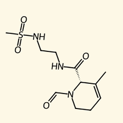 CC1=CCCN(C=O)[C@@H]1C(=O)NCCNS(C)(=O)=O